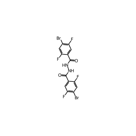 O=C(NNC(=O)c1cc(F)c(Br)cc1F)c1cc(F)c(Br)cc1F